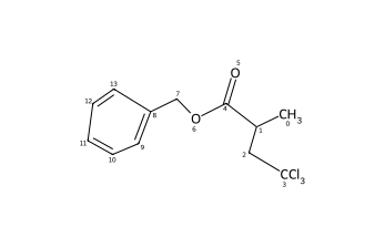 CC(CC(Cl)(Cl)Cl)C(=O)OCc1ccccc1